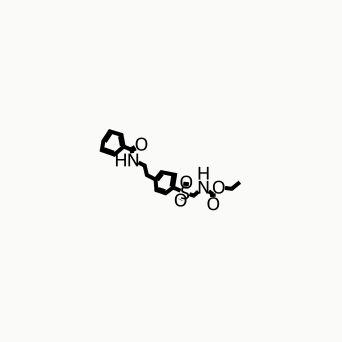 CCOC(=O)NCS(=O)(=O)c1ccc(CCNC(=O)c2ccccc2)cc1